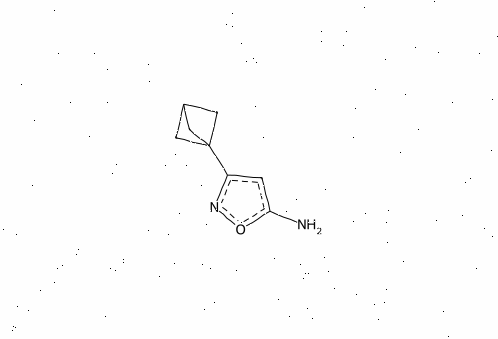 Nc1cc(C23CC(C2)C3)no1